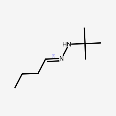 CCC/C=N/NC(C)(C)C